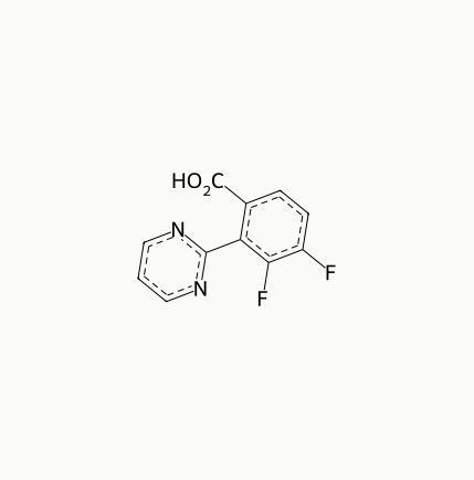 O=C(O)c1ccc(F)c(F)c1-c1ncccn1